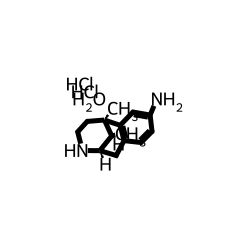 C[C@@H]1[C@H]2Cc3ccc(N)cc3[C@]1(C)CCN2.Cl.Cl.O